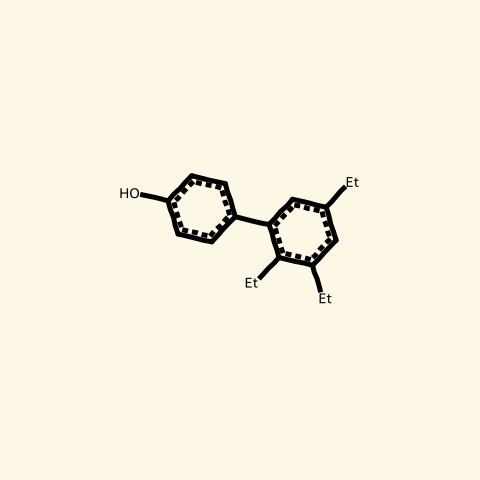 CCc1cc(CC)c(CC)c(-c2ccc(O)cc2)c1